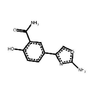 NC(=O)c1cc(-c2csc(N)n2)ccc1O